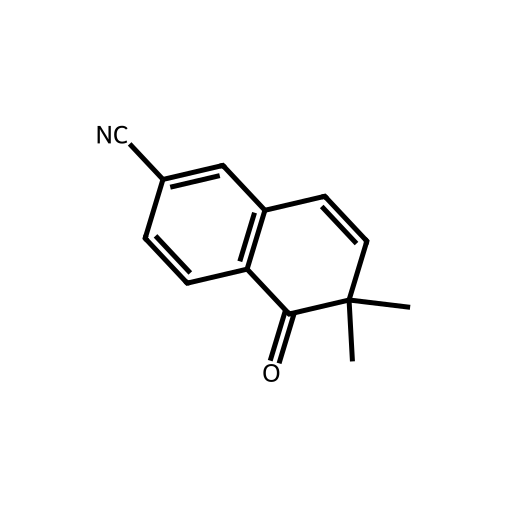 CC1(C)C=Cc2cc(C#N)ccc2C1=O